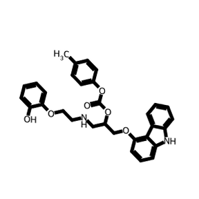 Cc1ccc(OC(=O)OC(CNCCOc2ccccc2O)COc2cccc3[nH]c4ccccc4c23)cc1